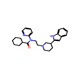 O=C(C1CCCCC1)N(CCN1CCCC(c2cc3ccccc3[nH]2)C1)c1ccccn1